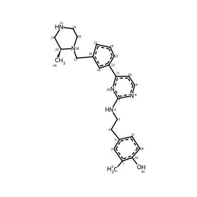 Cc1cc(CCNc2nccc(-c3cccc(CN4CCNC[C@@H]4C)c3)n2)ccc1O